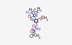 COCc1cc(CC(=O)Nc2cc(C3(C)CCCC3)on2)ccc1-c1nn(C(C)C)c(N)c1C(N)=O